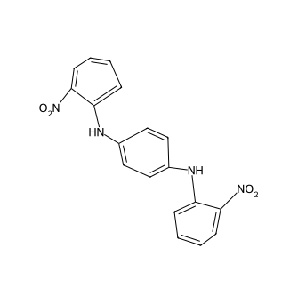 O=[N+]([O-])c1ccccc1Nc1ccc(Nc2ccccc2[N+](=O)[O-])cc1